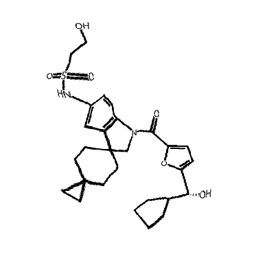 O=C(c1ccc([C@H](O)C2CCCC2)o1)N1CC2(CCC3(CC3)CC2)c2cc(NS(=O)(=O)CCO)ccc21